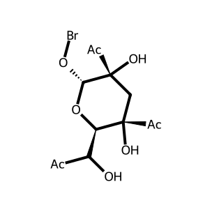 CC(=O)C(O)[C@H]1O[C@H](OBr)[C@@](O)(C(C)=O)C[C@@]1(O)C(C)=O